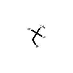 CC(O)(S)CS